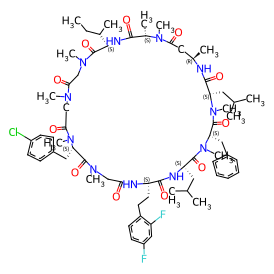 CCC(C)[C@@H]1NC(=O)[C@H](C)N(C)C(=O)C[C@@H](C)NC(=O)[C@H](CC(C)C)N(C)C(=O)[C@H](Cc2ccccc2)N(C)C(=O)[C@H](CC(C)C)NC(=O)[C@H](CCc2ccc(F)cc2F)NC(=O)CN(C)C(=O)[C@H](Cc2ccc(Cl)cc2)N(C)C(=O)CN(C)C(=O)CN(C)C1=O